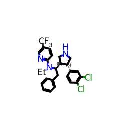 CCN(c1ccc(C(F)(F)F)cn1)C(Cc1ccccc1)[C@H]1CNC[C@@H]1c1ccc(Cl)c(Cl)c1